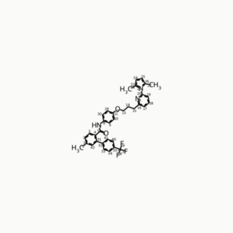 Cc1ccc(C(=O)Nc2ccc(OCCCc3cccc(-n4c(C)ccc4C)n3)cc2)c(-c2ccc(C(F)(F)F)cc2)c1